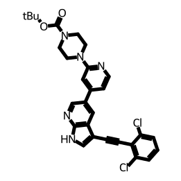 CC(C)(C)OC(=O)N1CCN(c2cc(-c3cnc4[nH]cc(C#Cc5c(Cl)cccc5Cl)c4c3)ccn2)CC1